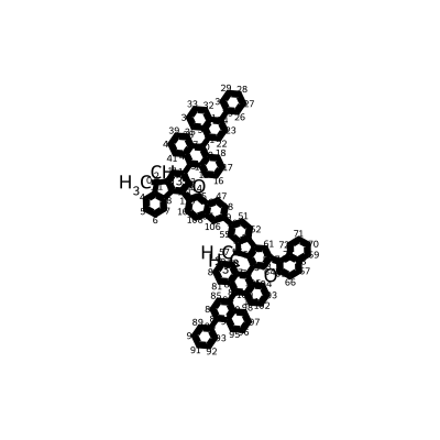 CC1(C)c2ccccc2-c2c1cc(-c1c3ccccc3c(-c3ccc(-c4ccccc4)c4ccccc34)c3ccccc13)c1oc3c4ccc(-c5ccc6c(c5)C(C)(C)c5c-6cc6c(oc7ccc8ccccc8c76)c5-c5c6ccccc6c(-c6ccc(-c7ccccc7)c7ccccc67)c6ccccc56)cc4ccc3c21